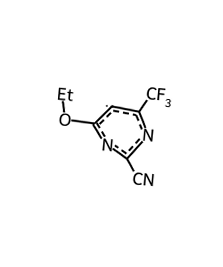 CCOc1[c]c(C(F)(F)F)nc(C#N)n1